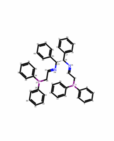 C(CP(c1ccccc1)c1ccccc1)=N[C@@H](c1ccccc1)C(/N=C/CP(c1ccccc1)c1ccccc1)c1ccccc1